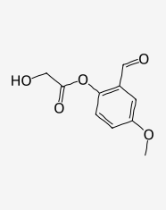 COc1ccc(OC(=O)CO)c(C=O)c1